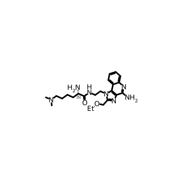 CCOCc1nc2c(N)nc3ccccc3c2n1CCNC(=O)[C@@H](N)CCCCN(C)C